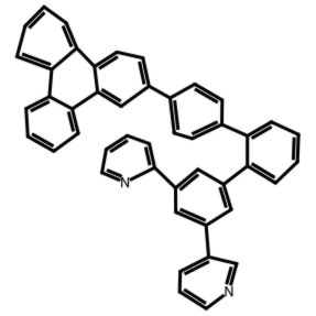 c1ccc(-c2cc(-c3cccnc3)cc(-c3ccccc3-c3ccc(-c4ccc5c6ccccc6c6ccccc6c5c4)cc3)c2)nc1